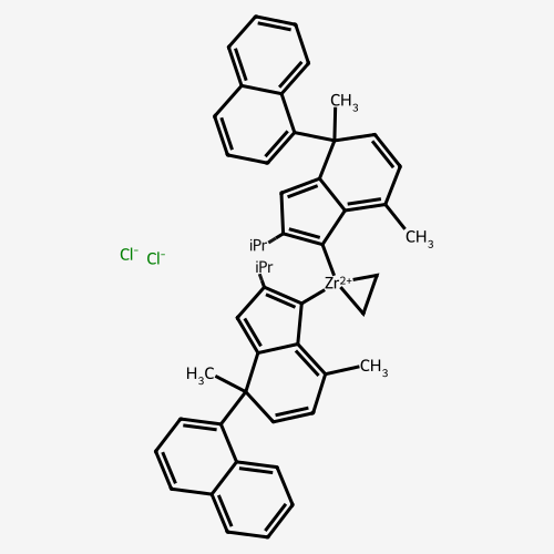 CC1=C2C(=CC(C(C)C)=[C]2[Zr+2]2([C]3=C(C(C)C)C=C4C3=C(C)C=CC4(C)c3cccc4ccccc34)[CH2][CH2]2)C(C)(c2cccc3ccccc23)C=C1.[Cl-].[Cl-]